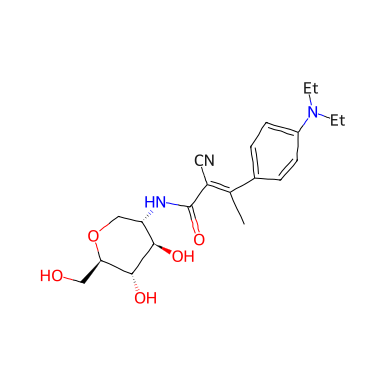 CCN(CC)c1ccc(/C(C)=C(\C#N)C(=O)N[C@H]2CO[C@H](CO)[C@@H](O)[C@@H]2O)cc1